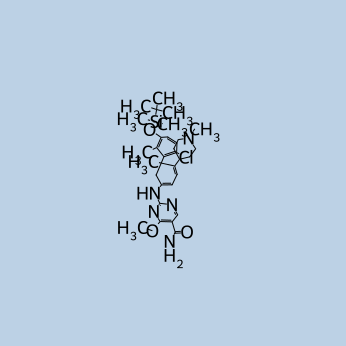 COc1nc(NC2=CC=C(C3CCN(C)CC3)C(C)(c3c(Cl)ccc(O[Si](C)(C)C(C)(C)C)c3C)C2)ncc1C(N)=O